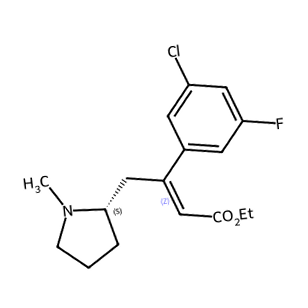 CCOC(=O)/C=C(/C[C@@H]1CCCN1C)c1cc(F)cc(Cl)c1